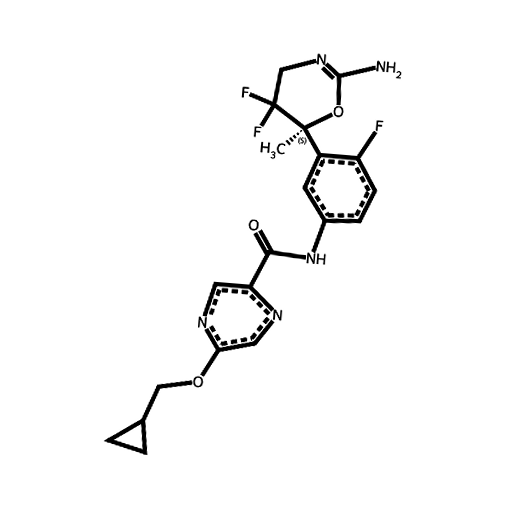 C[C@@]1(c2cc(NC(=O)c3cnc(OCC4CC4)cn3)ccc2F)OC(N)=NCC1(F)F